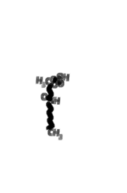 CCCCCCCCNC(=O)CCC(C)OS(=O)(=O)O